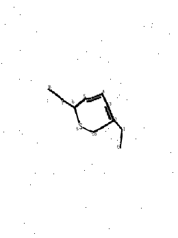 CCC1=CC=CC(CC)SC1